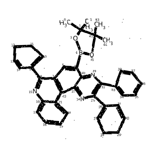 CC1(C)OB(c2cc3c(C4=CCCC=C4)nc4ccccc4c3c3nc(C4=CCCC=C4)c(-c4ccccc4)nc23)OC1(C)C